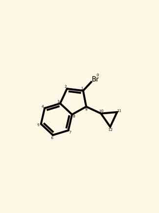 BrC1=Cc2ccccc2C1C1CC1